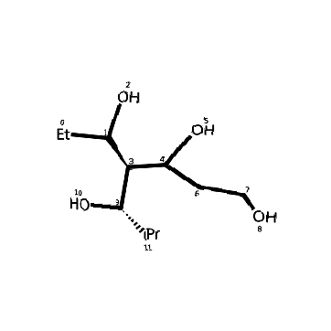 CCC(O)[C@@H](C(O)CCO)[C@@H](O)C(C)C